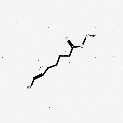 CCCCCOC(=O)CCCC/C=C/C(C)C